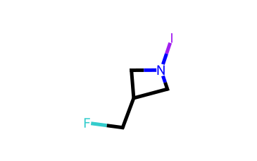 FCC1CN(I)C1